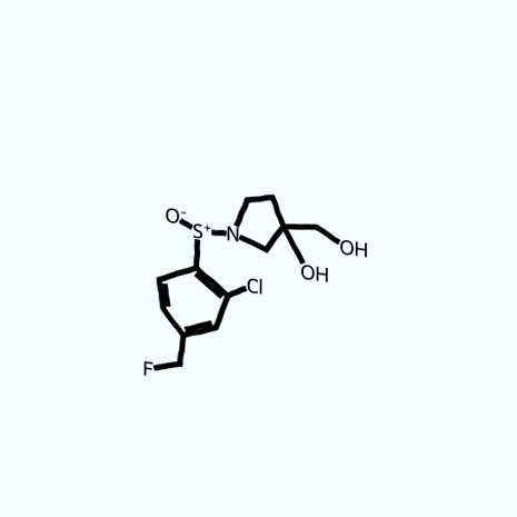 [O-][S+](c1ccc(CF)cc1Cl)N1CCC(O)(CO)C1